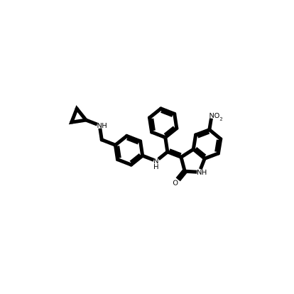 O=C1Nc2ccc([N+](=O)[O-])cc2/C1=C(/Nc1ccc(CNC2CC2)cc1)c1ccccc1